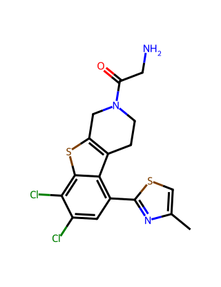 Cc1csc(-c2cc(Cl)c(Cl)c3sc4c(c23)CCN(C(=O)CN)C4)n1